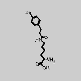 N[C@@H](CCCCNC(=O)CCc1ccc([131I])cc1)C(=O)O